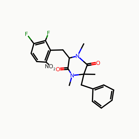 CN1C(=O)C(C)(Cc2ccccc2)N(C)C(=O)C1Cc1c([N+](=O)[O-])ccc(F)c1F